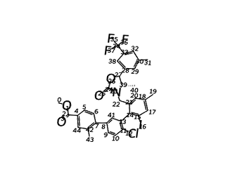 COC(=O)c1ccc(-c2ccc(Cl)c(-c3c(I)cc(C)cc3CN3C(=O)O[C@H](c4cc(C)cc(C(F)(F)F)c4)[C@@H]3C)c2)c(C)c1